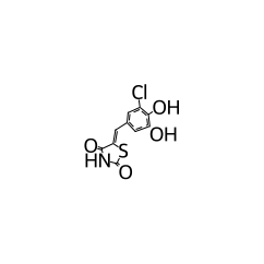 O=C1NC(=O)/C(=C/c2cc(O)c(O)c(Cl)c2)S1